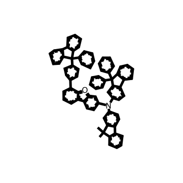 CC1(C)c2ccccc2-c2ccc(N(c3ccc4c(c3)C(c3ccccc3)(c3ccccc3)c3ccccc3-4)c3ccc4c(c3)oc3c(-c5ccc(C6(c7ccccc7)c7ccccc7-c7ccccc76)cc5)cccc34)cc21